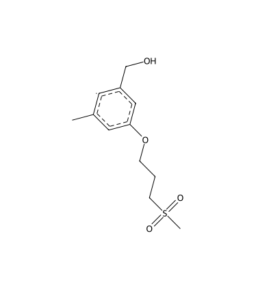 Cc1[c]c(CO)cc(OCCCS(C)(=O)=O)c1